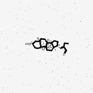 CC/C(C=O)=C\[C@H]1CC[C@]2(O)[C@@H]3CC[C@@H]4C[C@@H](O)CC[C@]4(C)[C@H]3CC[C@]12C